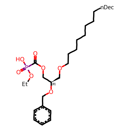 CCCCCCCCCCCCCCCCCCOC[C@H](COC(=O)P(=O)(O)OCC)OCc1ccccc1